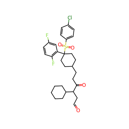 O=CCC(C(=O)CCC1CCC(c2cc(F)ccc2F)(S(=O)(=O)c2ccc(Cl)cc2)CC1)C1CCCCC1